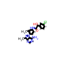 Cc1cc(NC(=O)[C@H](O)c2cccc(Cl)c2)ccc1-n1nc(C)c2ncnc(N)c21